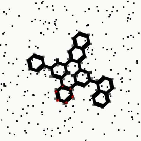 C1=C(c2ccccc2)NC(c2cc3ccccc3cc2C2NC(c3ccccc3)=NC(c3ccccc3)N2)NC1c1cccc2ccccc12